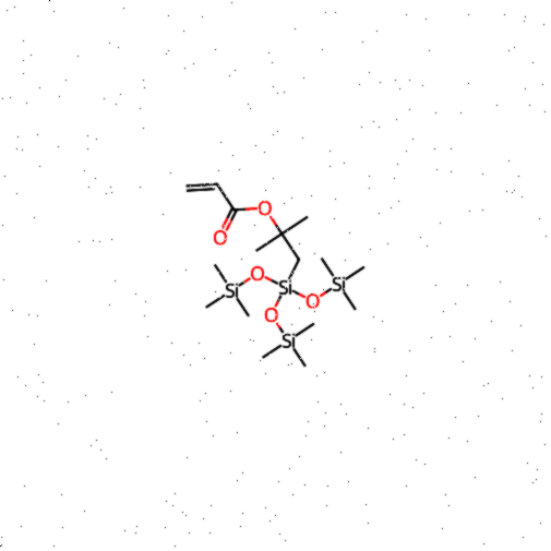 C=CC(=O)OC(C)(C)C[Si](O[Si](C)(C)C)(O[Si](C)(C)C)O[Si](C)(C)C